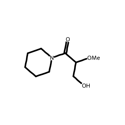 COC(CO)C(=O)N1CCCCC1